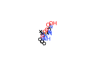 CN(C(=O)O)[C@H]1COc2c(S(=O)(=NC(=O)Nc3c4c(cc5c3CCC5)CCC4)N[Si](C)(C)C(C)(C)C)cnn2C1